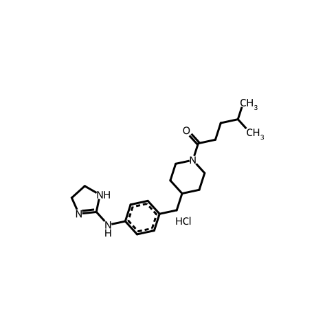 CC(C)CCC(=O)N1CCC(Cc2ccc(NC3=NCCN3)cc2)CC1.Cl